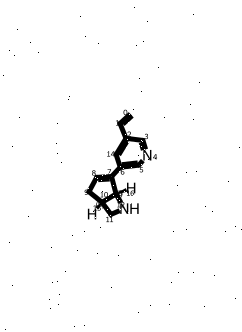 C=Cc1cncc(C2=CC[C@H]3CN[C@@H]23)c1